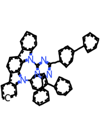 c1ccc(-c2ccc(-c3nc(-c4ccccc4)nc(-n4c5ccccc5c5ccc6c7ccccc7n(-c7ccc(-c8ccccc8)cc7)c6c54)n3)cc2)cc1